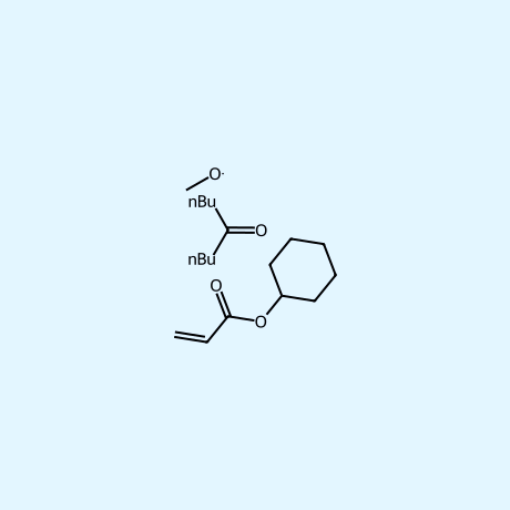 C=CC(=O)OC1CCCCC1.CCCCC(=O)CCCC.C[O]